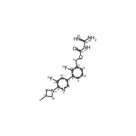 CC1CN(c2ncc(-c3cccc(COC(=O)NC(=N)N)c3F)cc2F)C1